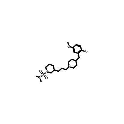 COc1ccc(Br)c(CC2CCN(CCCC3CCCN(S(=O)(=O)N(C)C)C3)CC2)c1